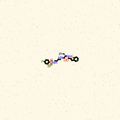 CC(C)C[C@H](NC(=O)c1cc2ccccc2s1)C(=O)NCCCCNS(=O)(=O)c1ccc(F)cc1Br